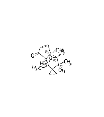 C[C@@]12C=CC(=O)[C@@H]1[C@]1(C)O[C@H]2[C@](C)(O)C12CC2